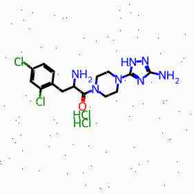 Cl.Cl.Nc1n[nH]c(N2CCN(C(=O)C(N)Cc3ccc(Cl)cc3Cl)CC2)n1